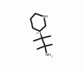 CC(C)(N)C(C)(C)[C@H]1CCCNC1